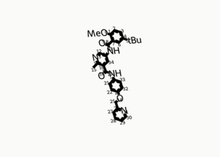 COc1ccc(C(C)(C)C)cc1C(=O)Nc1cnc(C)c(C(=O)Nc2ccc(OCc3ccccn3)cc2)c1